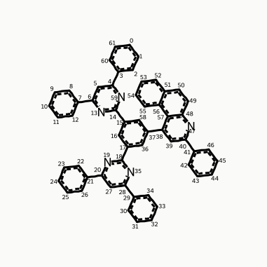 c1ccc(-c2cc(-c3ccccc3)nc(-c3cc(-c4nc(-c5ccccc5)cc(-c5ccccc5)n4)cc(-c4cc(-c5ccccc5)nc5ccc6ccccc6c45)c3)n2)cc1